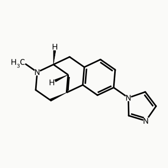 CN1CC[C@]23CCCC[C@H]2[C@H]1Cc1ccc(-n2ccnc2)cc13